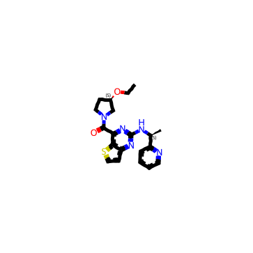 CCO[C@H]1CCN(C(=O)c2nc(N[C@@H](C)c3ccccn3)nc3ccsc23)C1